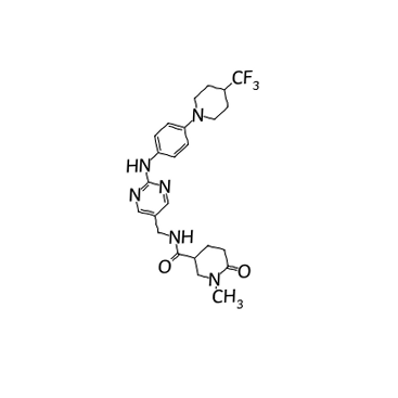 CN1CC(C(=O)NCc2cnc(Nc3ccc(N4CCC(C(F)(F)F)CC4)cc3)nc2)CCC1=O